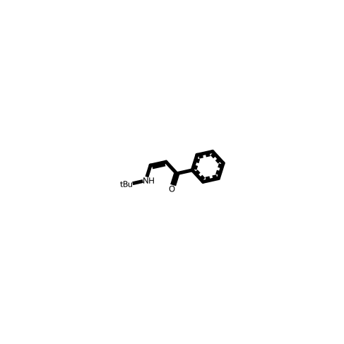 CC(C)(C)N/C=C\C(=O)c1ccccc1